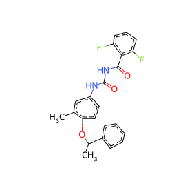 Cc1cc(NC(=O)NC(=O)c2c(F)cccc2F)ccc1OC(C)c1ccccc1